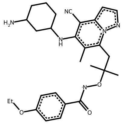 CCOc1ccc(C(=O)[N]OC(C)(C)Cc2c(C)c(NC3CCCC(N)C3)c(C#N)c3ccnn23)cc1